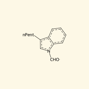 CCCCCc1cn([C]=O)c2ccccc12